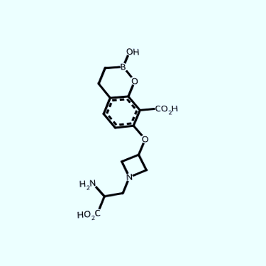 NC(CN1CC(Oc2ccc3c(c2C(=O)O)OB(O)CC3)C1)C(=O)O